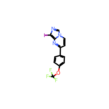 FC(F)(F)Oc1ccc(-c2ccn3cnc(I)c3n2)cc1